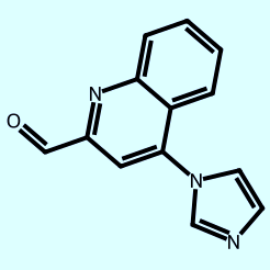 O=Cc1cc(-n2ccnc2)c2ccccc2n1